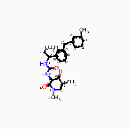 CC1=CN(C)C(=O)C(NC(=O)NC(CC(=O)O)c2cccc(Cc3cccc(C)c3)c2)C1=O